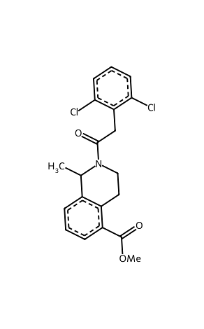 COC(=O)c1cccc2c1CCN(C(=O)Cc1c(Cl)cccc1Cl)C2C